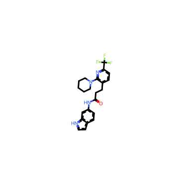 O=C(CCc1ccc(C(F)(F)F)nc1N1CCCCC1)Nc1ccc2cc[nH]c2c1